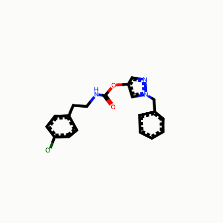 O=C(NCCc1ccc(Cl)cc1)Oc1cnn(Cc2ccccc2)c1